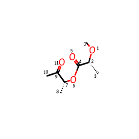 CO[C@H](C)C(=O)O[C@H](C)C(C)=O